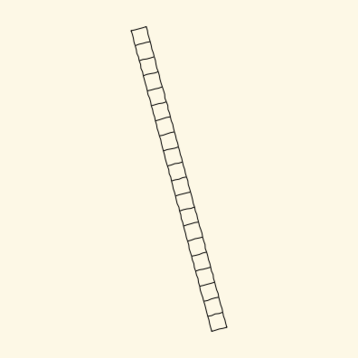 C1CC2C1C1C2C2C1C1C2C2C1C1C2C2C1C1C2C2C1C1C3C4C5C6C7C8C9C%10C%11CCC%11C%10C9C8C7C6C5C4C3C21